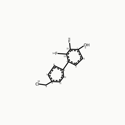 Oc1ccc(-c2ccc(CCl)cc2)c(F)c1F